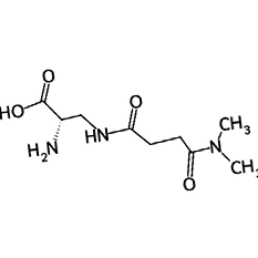 CN(C)C(=O)CCC(=O)NC[C@H](N)C(=O)O